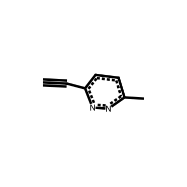 C#Cc1ccc(C)nn1